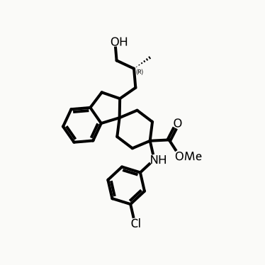 COC(=O)C1(Nc2cccc(Cl)c2)CCC2(CC1)c1ccccc1CC2C[C@@H](C)CO